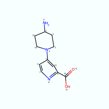 NC1CCN(c2ccnc(C(=O)O)c2)CC1